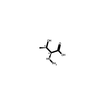 C[C@@H](O)[C@H](NP)C(=O)O